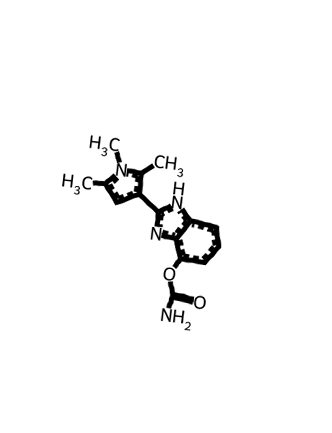 Cc1cc(-c2nc3c(OC(N)=O)cccc3[nH]2)c(C)n1C